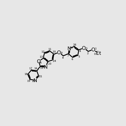 CCOCOc1ccc(COc2ccc3oc(-c4cccnc4)nc3c2)nc1